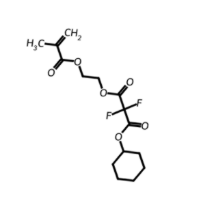 C=C(C)C(=O)OCCOC(=O)C(F)(F)C(=O)OC1CCCCC1